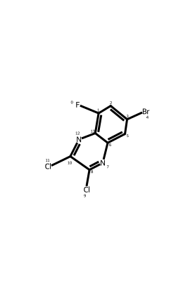 Fc1cc(Br)cc2nc(Cl)c(Cl)nc12